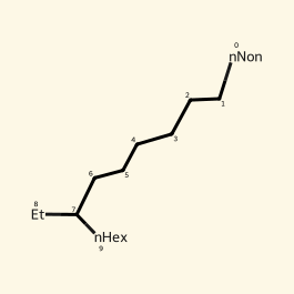 [CH2]CCCCCCCCCCCCCCC(CC)CCCCC[CH2]